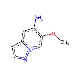 COc1cn2nccc2cc1N